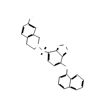 O=S(=O)(c1ccc(Sc2cccc3ccccc23)c2nonc12)N1CCc2ccc(Cl)cc2C1